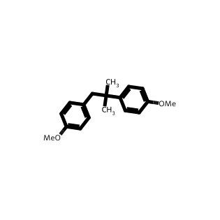 COc1ccc(CC(C)(C)c2ccc(OC)cc2)cc1